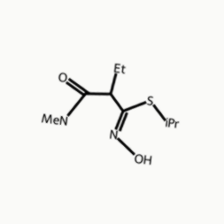 CCC(C(=O)NC)C(=NO)SC(C)C